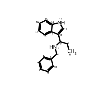 CCC(NCc1ccccc1)c1c[nH]c2ccccc12